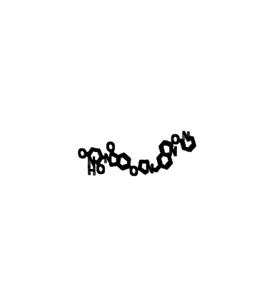 O=C1CCC(N2Cc3cc(O[C@H]4CCN(Cc5ccc6nc(Oc7ccccn7)ccc6c5)C4)ccc3C2=O)C(=O)N1